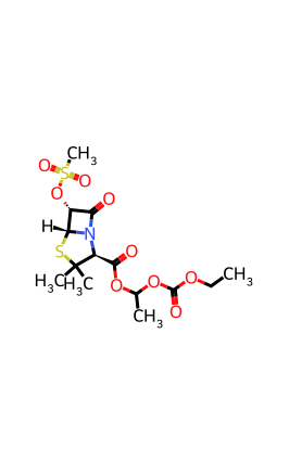 CCOC(=O)OC(C)OC(=O)[C@@H]1N2C(=O)[C@@H](OS(C)(=O)=O)[C@H]2SC1(C)C